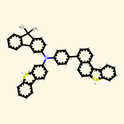 CC1(C)c2ccccc2-c2cc(N(c3ccc(-c4cccc5c4ccc4sc6ccccc6c45)cc3)c3ccc4c(c3)sc3ccccc34)ccc21